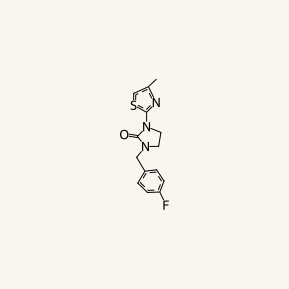 Cc1csc(N2CCN(Cc3ccc(F)cc3)C2=O)n1